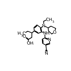 CCC(CC(=O)O)c1ccc(N(CC)C2CCOCC2)c(Nc2ccc(C#N)cn2)c1